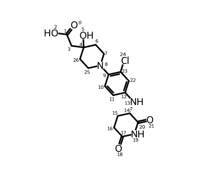 O=C(O)CC1(O)CCN(c2ccc(N[C@H]3CCC(=O)NC3=O)cc2Cl)CC1